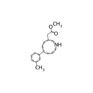 COC(=O)Cc1ccc(-c2cccc(C)c2)ccc[nH]c1